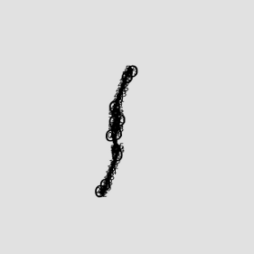 O=C(C#Cc1ccc(OCCCCCCCCCCOCC2CO2)cc1)Oc1ccc(OC(=O)C2CCC(OCCCCCCCCCCOCC3CO3)CC2)cc1